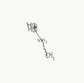 CCCCCCCCCCCCCCCCCCOP(=O)(O)O.[InH3]